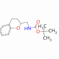 CC(C)(C)OC(=O)NCC1CCc2ccccc2O1